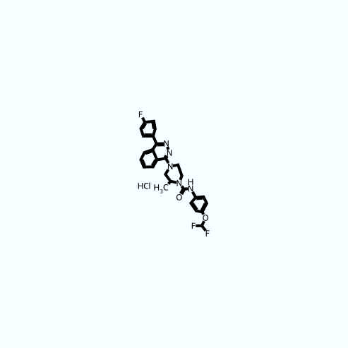 CC1CN(c2nnc(-c3ccc(F)cc3)c3ccccc23)CCN1C(=O)Nc1ccc(OC(F)F)cc1.Cl